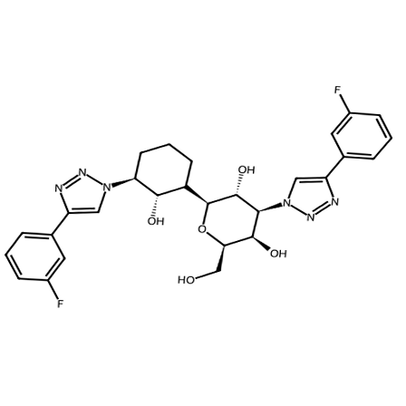 OC[C@H]1O[C@@H](C2CCC[C@H](n3cc(-c4cccc(F)c4)nn3)[C@H]2O)[C@H](O)[C@@H](n2cc(-c3cccc(F)c3)nn2)[C@H]1O